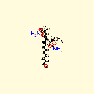 CC(C)(C)OC(N)=O.NS(=O)(=O)C1(CCCCCCCCCCCC=O)CC1